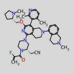 C=C(F)C(=O)N1CCN(c2nc(OC[C@@H]3CCCN3C)c(-c3c(C)ccnc3C)c3c2CCN(c2cccc4c2CCN(C)C4)C3)C[C@@H]1CC#N